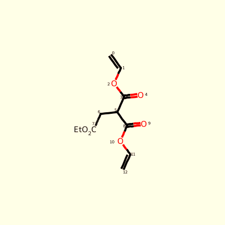 C=COC(=O)C(CC(=O)OCC)C(=O)OC=C